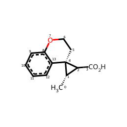 C[C@H]1C(C(=O)O)[C@@]12CCOc1ccccc12